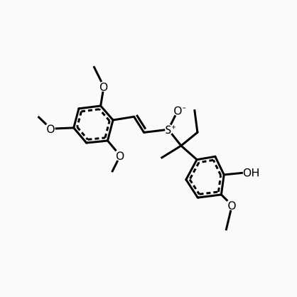 CCC(C)(c1ccc(OC)c(O)c1)[S+]([O-])C=Cc1c(OC)cc(OC)cc1OC